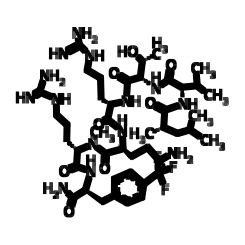 CC(C)C[C@H](C)C(=O)N[C@H](C(=O)N[C@H](C(=O)N[C@@H](CCCNC(=N)N)C(=O)N[C@@H](CCC(N)=O)C(=O)N(C)[C@@H](CCCNC(=N)N)C(=O)N[C@@H](Cc1ccc(C(F)(F)F)cc1)C(N)=O)[C@@H](C)O)C(C)C